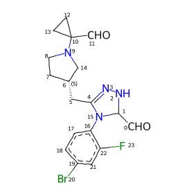 O=CC1NN=C(C[C@@H]2CCN(C3(C=O)CC3)C2)N1c1ccc(Br)cc1F